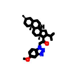 COc1ccc2c(c1)nnn2CC(=O)C1C(C(C)C)CC2[C@@H]3CCC4C[C@@H](C)CC[C@]4(C)C3CC[C@]12C